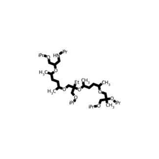 CCC(COC(C)C)(COC(C)CCC(C)OC(CNC(C)C)COC(C)C)OC(C)CCC(C)OCC(C)(COC(C)C)OC(C)C